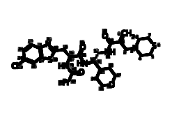 C=C(CN1CCSCC1)C(=O)NC[C@@H](NC(=O)[C@H](Cc1nc2ccc(Cl)cc2s1)NC(=O)CCC)C1CCOCC1